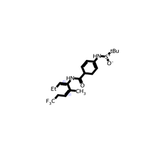 CC/C=C(NC(=O)C1C=CC(N[S+]([O-])C(C)(C)C)=CC1)\C(C)=C/CC(F)(F)F